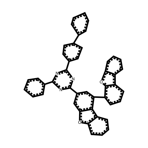 c1ccc(-c2ccc(-c3nc(-c4ccccc4)nc(-c4cc(-c5cccc6c5oc5ccccc56)c5c(c4)oc4ccccc45)n3)cc2)cc1